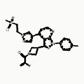 C=C(F)C(=O)N1CC(c2nn(-c3ccc(C)cc3)c3nccc(-c4cnn(CCS(C)(=O)=O)c4)c23)C1